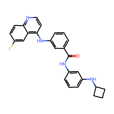 O=C(Nc1cccc(NC2CCC2)c1)c1cccc(Nc2ccnc3ccc(F)cc23)c1